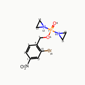 O=[N+]([O-])c1ccc(COP(=O)(N2CC2)N2CC2)c(Br)c1